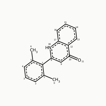 Cc1cccc(C)c1-c1cc(=O)c2ccccc2[nH]1